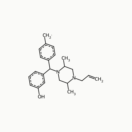 [CH2]c1ccc(C(c2cccc(O)c2)N2CC(C)N(CC=C)CC2C)cc1